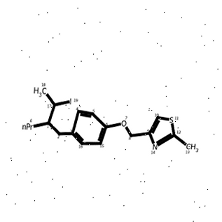 CCCC(Cc1ccc(OCc2csc(C)n2)cc1)C(C)I